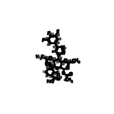 CC(=O)OC[C@H]1O[C@@](S)(c2cccc(C(=O)O)c2C)[C@H](OC(C)=O)[C@@H](n2cc(-c3cc(F)c(F)c(F)c3)nn2)[C@H]1OC(C)=O